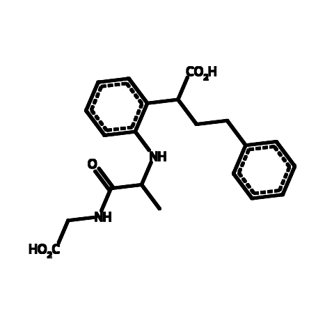 CC(Nc1ccccc1C(CCc1ccccc1)C(=O)O)C(=O)NCC(=O)O